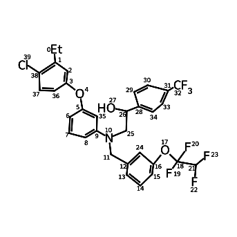 CCc1cc(Oc2cccc(N(Cc3cccc(OC(F)(F)C(F)F)c3)CC(O)c3ccc(C(F)(F)F)cc3)c2)ccc1Cl